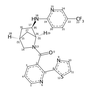 O=C(c1cccnc1-c1nccs1)N1C[C@H]2C[C@@H](Nc3ccc(C(F)(F)F)cn3)[C@@H]1C2